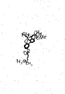 C=CCC1Oc2ccc(OC(=O)CCCN(C)C)cc2-c2ccc3c(c21)C(C)=CC(C)(C)N3OC